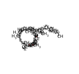 C#CCN1CCN(c2ncc(-c3cccc(CO[C@@H]4CC[C@@H](C[C@@H](N)[C@@H]5CC(=O)[C@H](C)/C=C(\C)[C@@H](O)[C@@H](O)C(=O)[C@H](C)C[C@H](C)/C=C/C=C/C=C(\C)C(c6ccco6)C[C@@H]6CC[C@@H](C)[C@@](O)(O6)C(=O)C(=O)N6CCCC[C@H]6C(=O)O5)C[C@H]4OC)c3)cn2)CC1